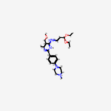 CCOC(CCNc1nc(-c2ccc(N3CCN(C)CC3)cc2)nc(C)c1COC)OCC